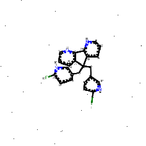 Fc1ccc(CC2(Cc3ccc(F)nc3)c3cccnc3-c3ncccc32)cn1